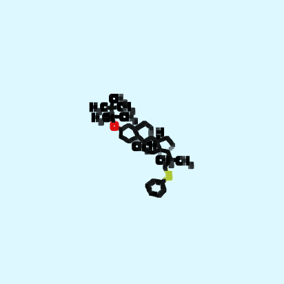 C[C@@H](CSc1ccccc1)[C@H]1CC[C@H]2C3=CC=C4CC(O[Si](C)(C)C(C)(C)C)CC[C@]4(C)[C@H]3CC[C@]12C